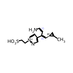 CC1=C[C@@H]1/C=C(\C=C/N)c1cc[n+](CCS(=O)(=O)O)nc1